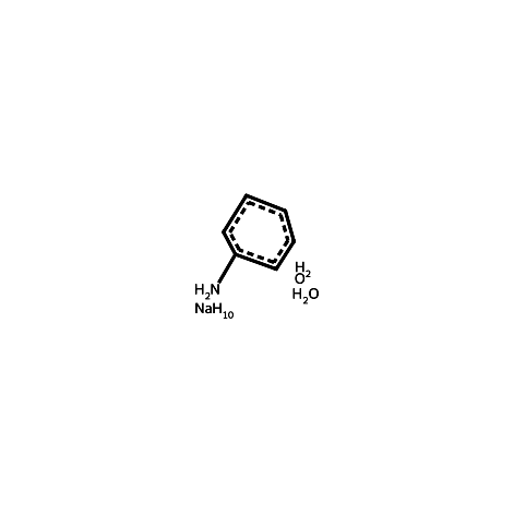 Nc1ccccc1.O.O.[NaH10]